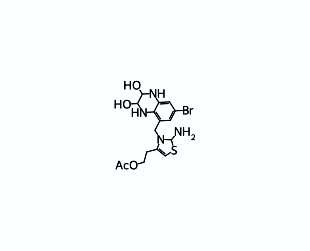 CC(=O)OCCC1=CSC(N)N1Cc1cc(Br)cc2c1NC(O)C(O)N2